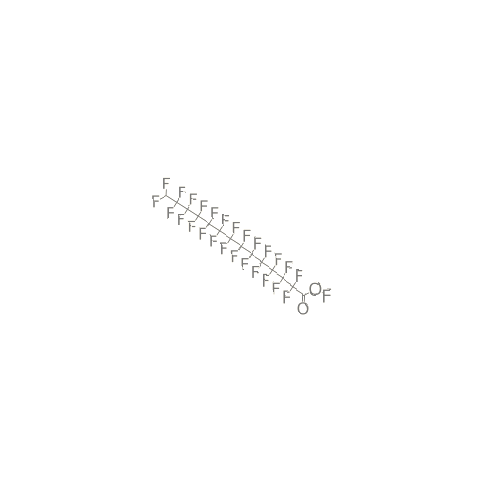 O=C(OF)C(F)(F)C(F)(F)C(F)(F)C(F)(F)C(F)(F)C(F)(F)C(F)(F)C(F)(F)C(F)(F)C(F)(F)C(F)(F)C(F)(F)C(F)F